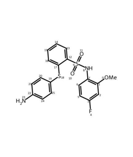 COc1cc(F)ccc1NS(=O)(=O)c1ccccc1Sc1ccc(N)cc1